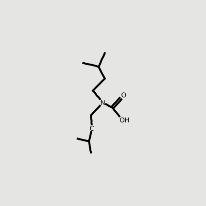 CC(C)CCN(CCC(C)C)C(=O)O